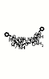 N=C(N)N(CCOCCN(C(=N)N)C(=O)c1nc(Cl)c(NC(=O)OCc2ccccc2)nc1N)C(=O)c1nc(Cl)c(NC(=O)OCc2ccccc2)nc1N